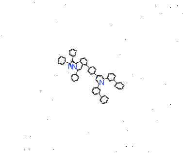 c1ccc(-c2cccc(-c3cc(-c4ccc(-c5cccc6c5cc(-c5ccccc5)n5nc(-c7ccccc7)c(-c7ccccc7)c65)cc4)cc(-c4cccc(-c5ccccc5)c4)n3)c2)cc1